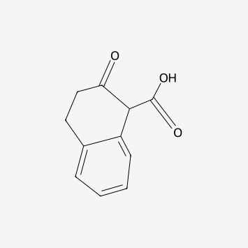 O=C(O)C1C(=O)CCc2ccccc21